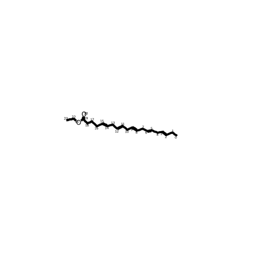 CC/C=C/C/C=C/C/C=C/C/C=C/C/C=C/CCCC(=O)OCC